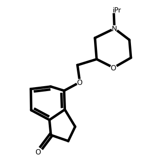 CC(C)N1CCOC(COc2cccc3c2CCC3=O)C1